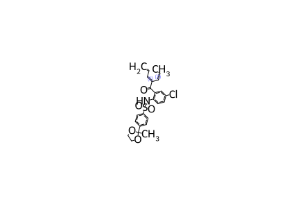 C=C/C=C(\C=C/C)C(=O)c1cc(Cl)ccc1NS(=O)(=O)c1ccc(C2(C)OCCO2)cc1